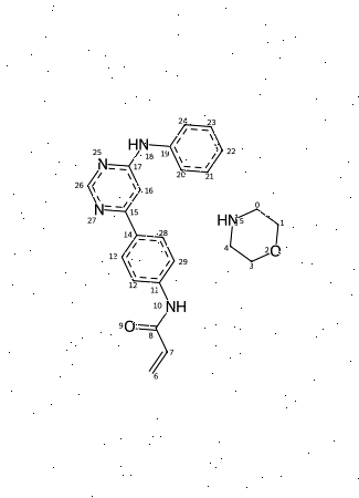 C1COCCN1.C=CC(=O)Nc1ccc(-c2cc(Nc3ccccc3)ncn2)cc1